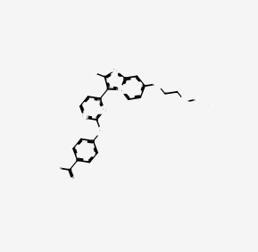 COCCOc1ccn2c(-c3ccnc(Nc4ccc(C(=O)O)cc4)n3)c(C)nc2c1